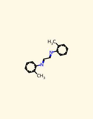 Cc1ccccc1/N=C/C=N/c1ccccc1C